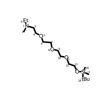 CCN(C)CCOCCOCCOCCO[Si](C)(C)C(C)(C)C